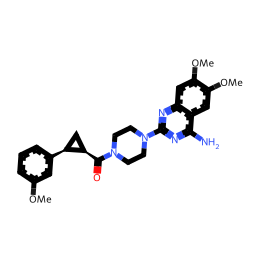 COc1cccc([C@H]2C[C@H]2C(=O)N2CCN(c3nc(N)c4cc(OC)c(OC)cc4n3)CC2)c1